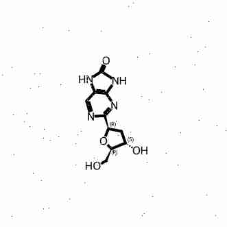 O=c1[nH]c2cnc([C@H]3C[C@H](O)[C@@H](CO)O3)nc2[nH]1